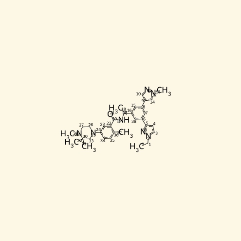 CCn1ccc(-c2cc(-c3cnn(C)c3)cc([C@@H](C)NC(=O)c3cc(N4CCN(C)C(C)(C)C4)ccc3C)c2)n1